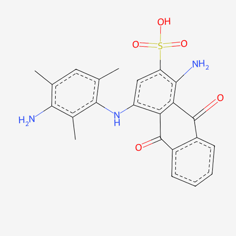 Cc1cc(C)c(Nc2cc(S(=O)(=O)O)c(N)c3c2C(=O)c2ccccc2C3=O)c(C)c1N